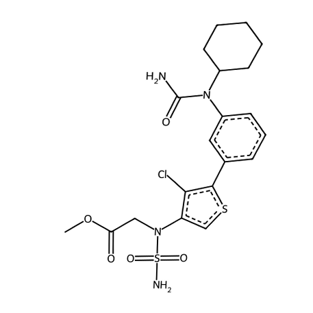 COC(=O)CN(c1csc(-c2cccc(N(C(N)=O)C3CCCCC3)c2)c1Cl)S(N)(=O)=O